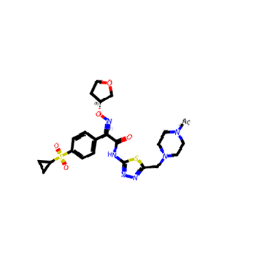 CC(=O)N1CCN(Cc2nnc(NC(=O)/C(=N/O[C@@H]3CCOC3)c3ccc(S(=O)(=O)C4CC4)cc3)s2)CC1